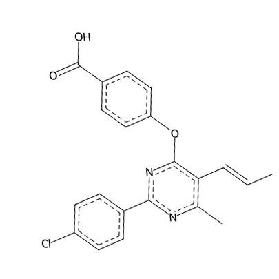 CC=Cc1c(C)nc(-c2ccc(Cl)cc2)nc1Oc1ccc(C(=O)O)cc1